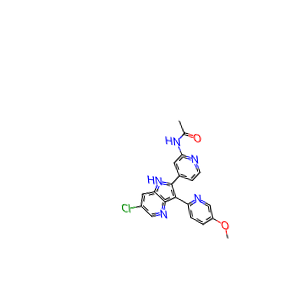 COc1ccc(-c2c(-c3ccnc(NC(C)=O)c3)[nH]c3cc(Cl)cnc23)nc1